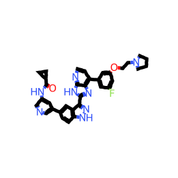 O=C(Nc1cncc(-c2ccc3[nH]nc(-c4nc5c(-c6cc(F)cc(OCCN7CCCC7)c6)ccnc5[nH]4)c3c2)c1)C1CC1